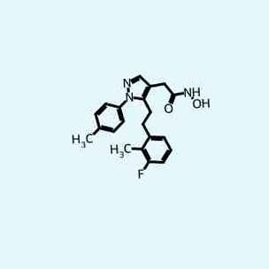 Cc1ccc(-n2ncc(CC(=O)NO)c2CCc2cccc(F)c2C)cc1